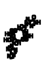 O=c1[nH]cnc2c1ncn2[C@H]1C[C@@H]2OP(=O)(O)OC[C@H]3O[C@@H](n4cnc5c4ncn4ccnc54)[C@H](O)[C@@H]3OP(=O)(O)OC[C@H]2O1